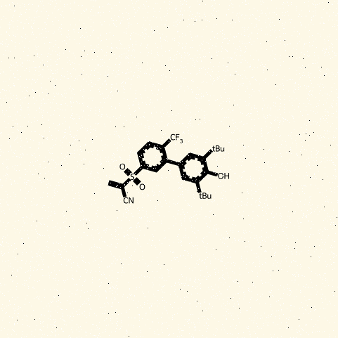 C=C(C#N)S(=O)(=O)c1ccc(C(F)(F)F)c(-c2cc(C(C)(C)C)c(O)c(C(C)(C)C)c2)c1